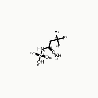 O=C(CC(F)(F)F)NS(=O)(=O)O.[KH]